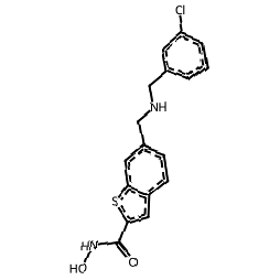 O=C(NO)c1cc2ccc(CNCc3cccc(Cl)c3)cc2s1